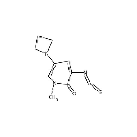 Cn1cc(N2CCC2)cc(N=C=S)c1=O